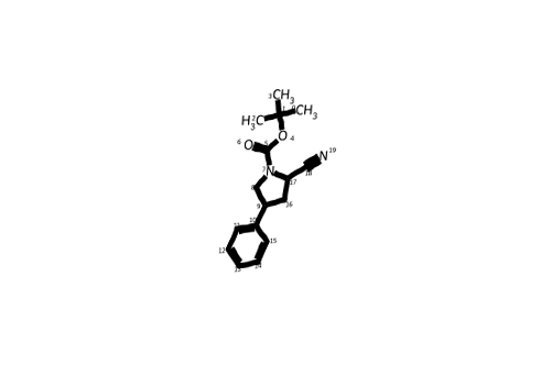 CC(C)(C)OC(=O)N1CC(c2ccccc2)CC1C#N